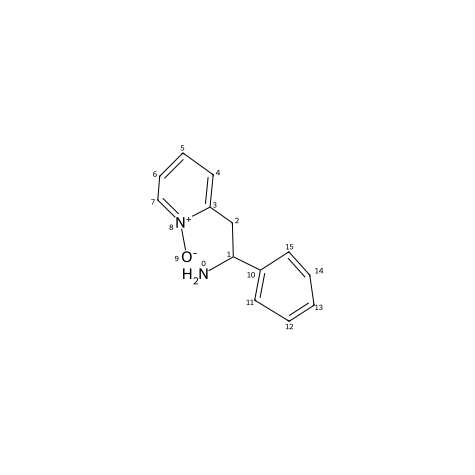 NC(Cc1cccc[n+]1[O-])c1ccccc1